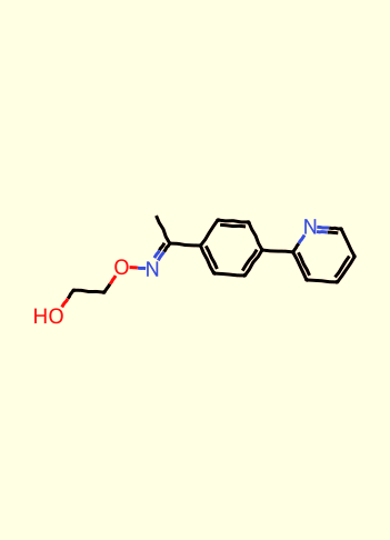 CC(=NOCCO)c1ccc(-c2ccccn2)cc1